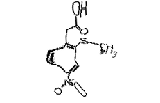 CSc1cc([N+](=O)[O-])ccc1CC(=O)O